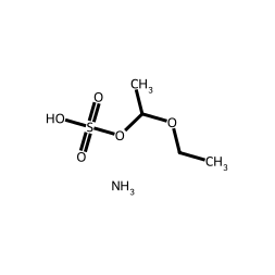 CCOC(C)OS(=O)(=O)O.N